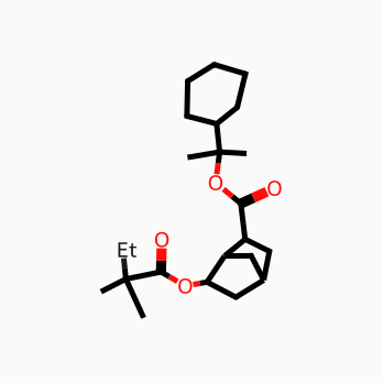 CCC(C)(C)C(=O)OC1CC2CC(C(=O)OC(C)(C)C3CCCCC3)C1C2